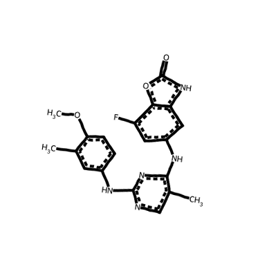 COc1ccc(Nc2ncc(C)c(Nc3cc(F)c4oc(=O)[nH]c4c3)n2)cc1C